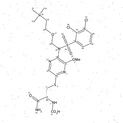 COc1nc(SC[C@H](NC(=O)O)C(N)=O)cnc1N(COCC[Si](C)(C)C)S(=O)(=O)c1cccc(Cl)c1Cl